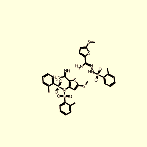 CSc1cc(N(S(=O)(=O)c2ccccc2C)S(=O)(=O)c2ccccc2C)c(C(=N)N)s1.CSc1ccc(C(N)=NNS(=O)(=O)c2ccccc2C)s1